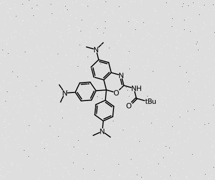 CN(C)c1ccc(C2(c3ccc(N(C)C)cc3)OC(NC(=O)C(C)(C)C)=Nc3cc(N(C)C)ccc32)cc1